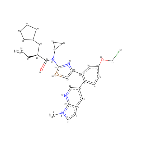 Cn1ccc2cc(-c3ccc(OCF)cc3-c3csc(N(C(=O)[C@@H](CC(=O)O)CC4CCCC4)C4CC4)n3)cnc21